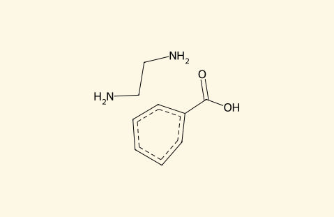 NCCN.O=C(O)c1ccccc1